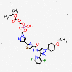 CCOC1CCC(n2cc(NC(=O)c3csc(-c4cnn(COP(=O)(O)OCOC(=O)OC(C)C)c4)n3)c(-c3nc(F)ccc3F)n2)CC1